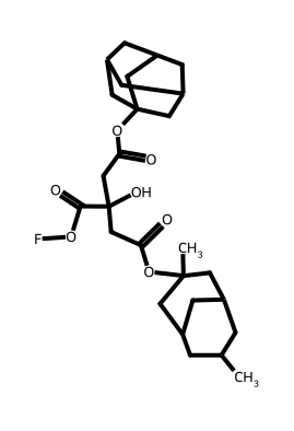 CC1CC2CC(C1)CC(C)(OC(=O)CC(O)(CC(=O)OC13CC4CC(CC(C4)C1)C3)C(=O)OF)C2